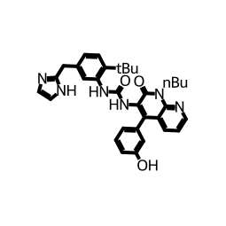 CCCCn1c(=O)c(NC(=O)Nc2cc(Cc3ncc[nH]3)ccc2C(C)(C)C)c(-c2cccc(O)c2)c2cccnc21